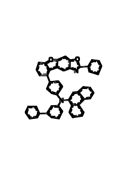 c1ccc(-c2cccc(N(c3ccc(-c4cccc5oc6cc7oc(-c8ccccc8)nc7cc6c45)cc3)c3cc4ccccc4c4ccccc34)c2)cc1